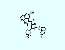 CC1(O)CCCN(c2nc(OC[C@@]34CCCN3C[C@H](F)C4)nc3c(F)c(-c4cc(O)cc5ccc(F)c(Br)c45)ncc23)C1